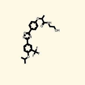 CC(C)Oc1ccc(-c2noc(-c3ccc(OC(C)C(=O)NCCO)cc3)n2)cc1C(F)(F)F